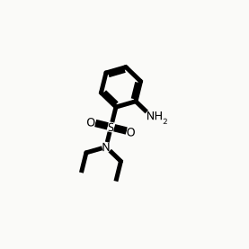 CCN(CC)S(=O)(=O)c1ccccc1N